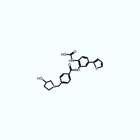 O=C(O)Nc1ccc(-c2cccs2)cc1NC(=O)c1ccc(CN2CCC(O)C2)cc1